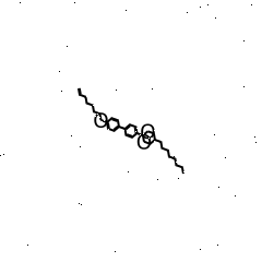 C=CCCCCCOc1ccc(-c2ccc(C3OCC(CCCCCCCC)CO3)cc2)cc1